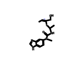 C/C=C(/CO)SC(C)NC(=O)N(C)c1ccc2[nH]cnc2c1